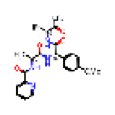 COc1ccc([C@H](NC(=O)[C@H](C)NC(=O)c2ccccn2)C(=O)N[C@H](C(=O)C(F)(F)F)C(C)C)cc1